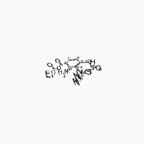 CCC(=O)OC(=O)c1ccc(C[SH](=O)=O)c(N=[N+]=[N-])c1N